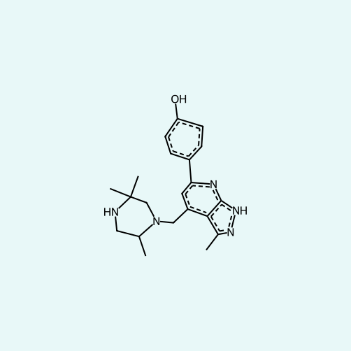 Cc1n[nH]c2nc(-c3ccc(O)cc3)cc(CN3CC(C)(C)NCC3C)c12